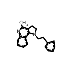 Cc1nc2ccccc2c2c1CCN2CCc1ccccc1